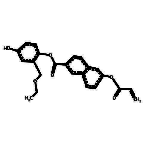 C=CC(=O)Oc1ccc2cc(C(=O)Oc3ccc(O)cc3COCC)ccc2c1